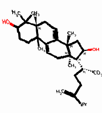 C=C(CC[C@@H](C(=O)O)[C@H]1[C@H](O)C[C@@]2(C)C3=CC[C@@H]4C(C)(CCC(O)C4(C)C)C3=CC[C@]12C)C(C)C